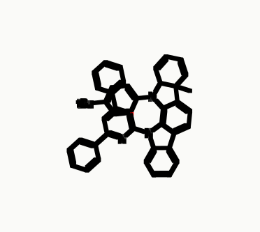 CC(C)(C)c1ccc(N2c3c(ccc4c5ccccc5n(-c5cc(-c6ccccc6)cc(-c6ccccc6)n5)c34)C3(C)C=CC=CC23)cc1